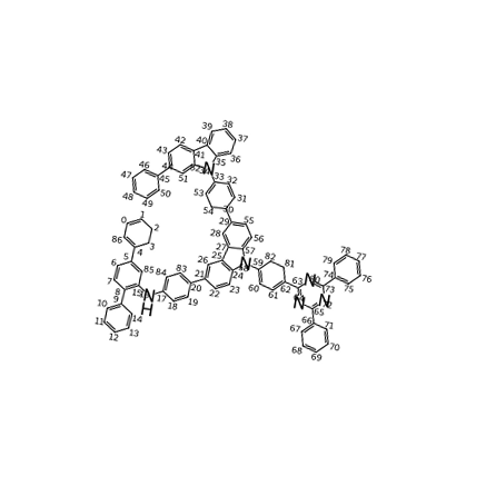 C1=CCCC(c2ccc(-c3ccccc3)c(Nc3ccc(-c4ccc5c(c4)c4cc(C6C=CC(n7c8ccccc8c8ccc(-c9ccccc9)cc87)=CC6)ccc4n5C4=CC=C(c5nc(-c6ccccc6)nc(-c6ccccc6)n5)CC4)cc3)c2)=C1